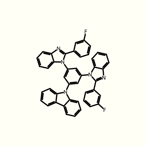 Fc1cccc(-c2nc3ccccc3n2-c2cc(-n3c(-c4cccc(F)c4)nc4ccccc43)cc(-n3c4ccccc4c4ccccc43)c2)c1